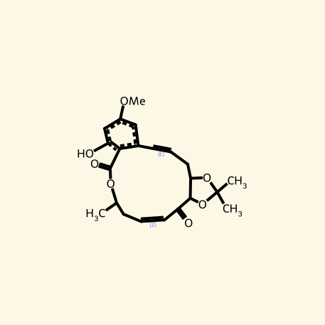 COc1cc(O)c2c(c1)/C=C/CC1OC(C)(C)OC1C(=O)/C=C\CC(C)OC2=O